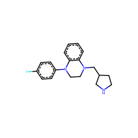 Fc1ccc(N2CCN(CC3CCNC3)c3ccccc32)cc1